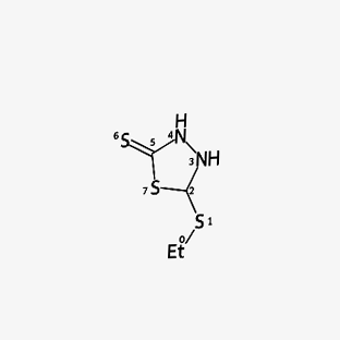 CCSC1NNC(=S)S1